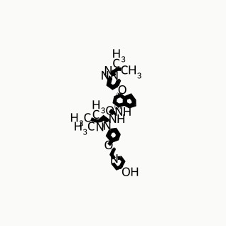 CC(C)c1nnc2ccc(O[C@@H]3CC[C@H](NC(=O)Nc4cc(C(C)(C)C)nn4-c4cccc(OCCN5CCC(O)CC5)c4)c4ccccc43)cn12